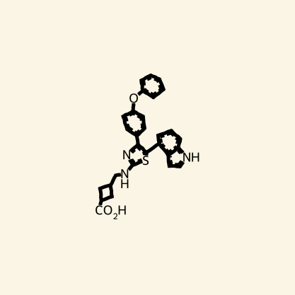 O=C(O)C1CC(CNc2nc(-c3ccc(Oc4ccccc4)cc3)c(-c3cccc4[nH]ccc34)s2)C1